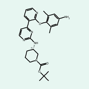 Cc1cc(N)cc(C)c1Oc1ncccc1-c1ccnc(N[C@H]2CCCN(C(=O)OC(C)(C)C)C2)n1